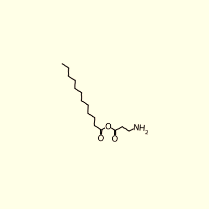 CCCCCCCCCCCC(=O)OC(=O)CCN